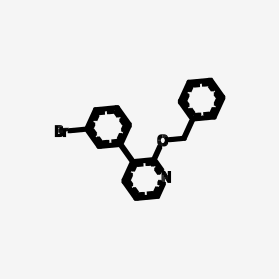 Brc1cccc(-c2cccnc2OCc2ccccc2)c1